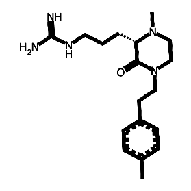 Cc1ccc(CCN2CCN(C)[C@@H](CCCNC(=N)N)C2=O)cc1